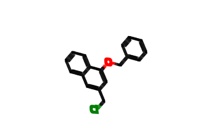 ClCc1cc(OCc2ccccc2)c2ccccc2c1